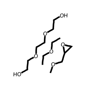 CCOCC.COCC1CO1.OCCOCCOCCO